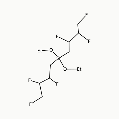 CC[O][Sn]([CH2]C(F)C(F)CF)([CH2]C(F)C(F)CF)[O]CC